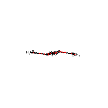 C=CC(=O)OCCCCCCCCCCCCCCCOc1ccc(C(=O)Oc2ccc(OC(=O)c3ccc(OCCCCCCCCCCCCCCCOC(=O)C=C)cc3)c(F)c2F)cc1